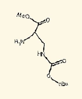 CCCCOC(=O)NCC(N)C(=O)OC